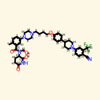 Cc1ccc(N2CCN(CCCCOc3ccc(C4CCN(c5ccc(C#N)c(C(F)(F)F)c5)CC4)cc3)CC2)cc1C(=O)N(C=O)C1CCC(=O)NC1=O